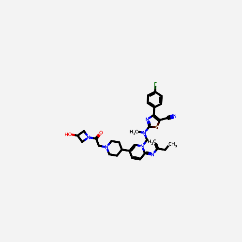 C=C(CC)/N=c1/ccc(C2CCN(CC(=O)N3CC(O)C3)CC2)cn1CN(C)c1nc(-c2ccc(F)cc2)c(C#N)s1